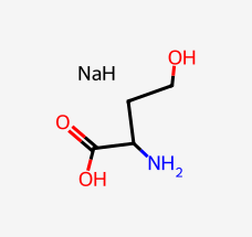 NC(CCO)C(=O)O.[NaH]